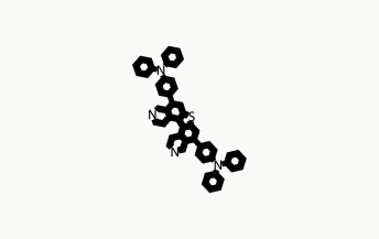 c1ccc(N(c2ccccc2)c2ccc(-c3cc4sc5cc(-c6ccc(N(c7ccccc7)c7ccccc7)cc6)c6cnccc6c5c4c4ccncc34)cc2)cc1